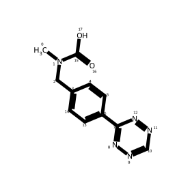 CN(Cc1ccc(-c2nncnn2)cc1)C(=O)O